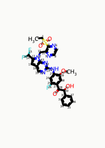 CCS(=O)(=O)c1nccnc1Cn1c(C(F)F)cc2cnc(Nc3cc(F)c(C(=O)C(O)c4ccccc4)cc3OC)nc21